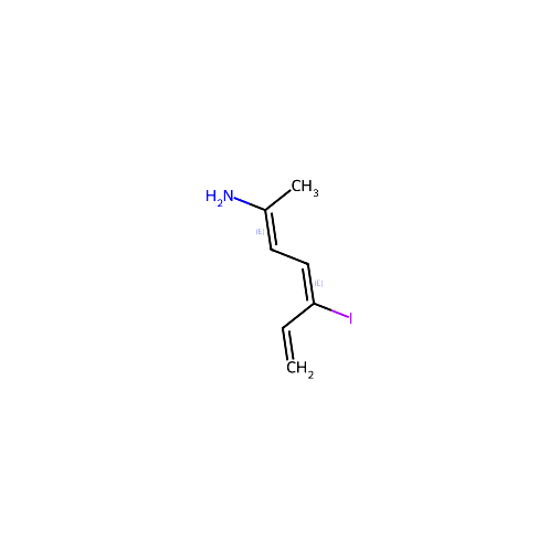 C=C/C(I)=C\C=C(/C)N